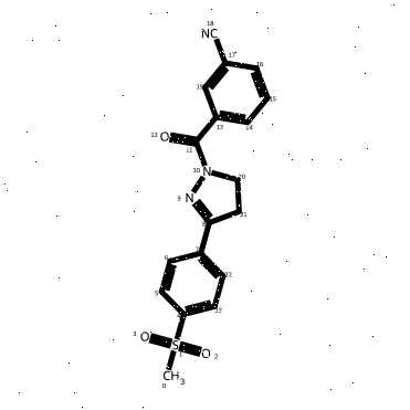 CS(=O)(=O)c1ccc(C2=NN(C(=O)c3cccc(C#N)c3)CC2)cc1